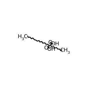 CCCCCCCCCCCCCCCCC(C(=O)O)C(CCCCCCCC)C(=O)O